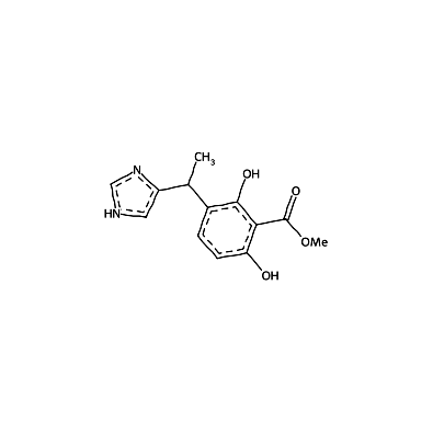 COC(=O)c1c(O)ccc(C(C)c2c[nH]cn2)c1O